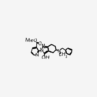 COC(=O)c1cccnc1-n1nc2c(c1O)CC(N(C)Cc1ccccc1)CC2